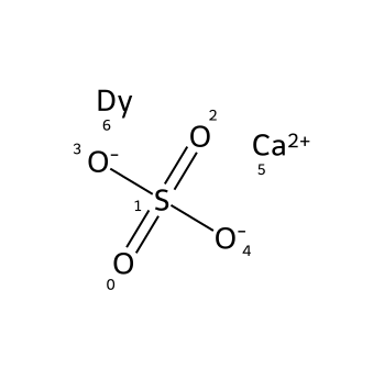 O=S(=O)([O-])[O-].[Ca+2].[Dy]